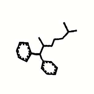 C[C](CCCC(C)C)C(c1ccccc1)c1ccccc1